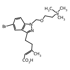 CC(=CC(=O)O)CCc1nn(COCC[Si](C)(C)C)c2ccc(Br)cc12